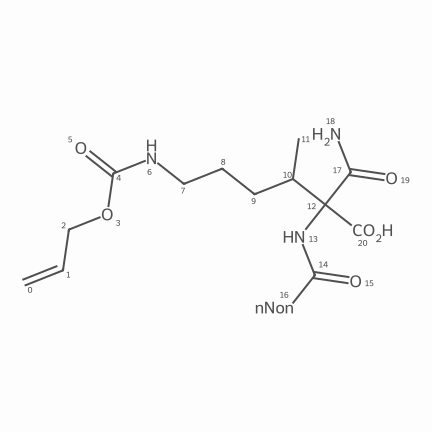 C=CCOC(=O)NCCCC(C)C(NC(=O)CCCCCCCCC)(C(N)=O)C(=O)O